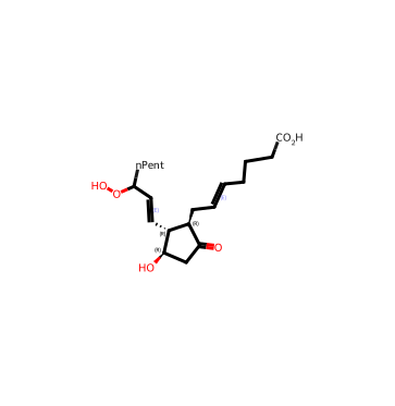 CCCCCC(/C=C/[C@H]1[C@H](O)CC(=O)[C@@H]1C/C=C/CCCC(=O)O)OO